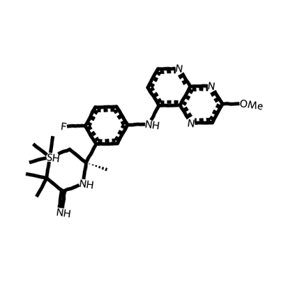 COc1cnc2c(Nc3ccc(F)c([C@]4(C)C[SH](C)(C)(C)C(C)(C)C(=N)N4)c3)ccnc2n1